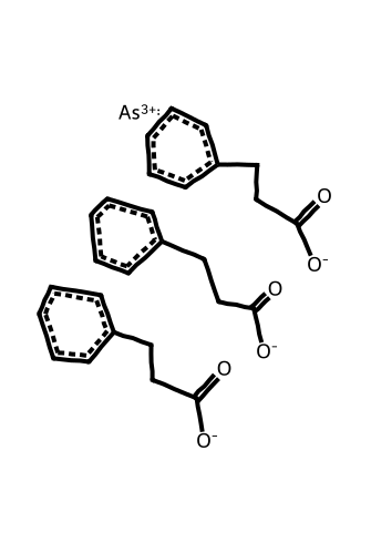 O=C([O-])CCc1ccccc1.O=C([O-])CCc1ccccc1.O=C([O-])CCc1ccccc1.[As+3]